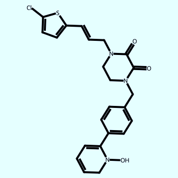 O=C1C(=O)N(Cc2ccc(C3=CC=CCN3O)cc2)CCN1CC=Cc1ccc(Cl)s1